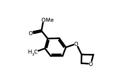 COC(=O)c1cc(OC2COC2)ccc1C